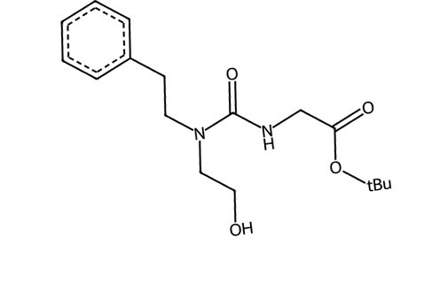 CC(C)(C)OC(=O)CNC(=O)N(CCO)CCc1ccccc1